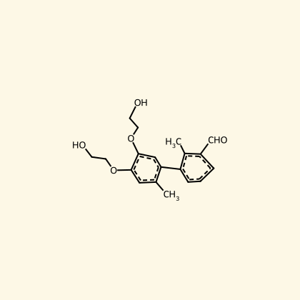 Cc1cc(OCCO)c(OCCO)cc1-c1cccc(C=O)c1C